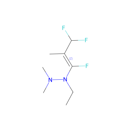 CCN(/C(F)=C(\C)C(F)F)N(C)C